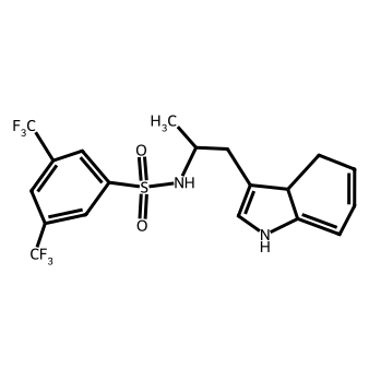 CC(CC1=CNC2=CC=CCC12)NS(=O)(=O)c1cc(C(F)(F)F)cc(C(F)(F)F)c1